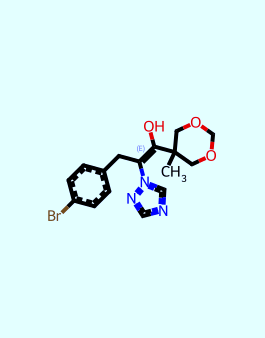 CC1(/C(O)=C(/Cc2ccc(Br)cc2)n2cncn2)COCOC1